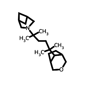 CC(C)(CCC(C)(C)N1CC2CC(C2)C1)C1C2CCC1COC2